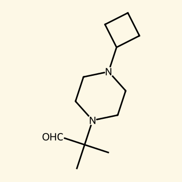 CC(C)(C=O)N1CCN(C2CCC2)CC1